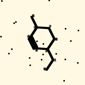 CCC1C#CC(C)CC1